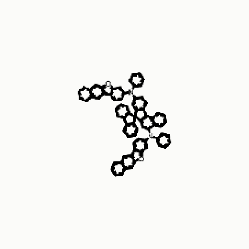 c1ccc(N(c2ccc3c(c2)C2(c4ccccc4-c4ccccc42)c2cc(N(c4ccccc4)c4ccc5c(c4)oc4cc6ccccc6cc45)c4ccccc4c2-3)c2ccc3c(c2)oc2cc4ccccc4cc23)cc1